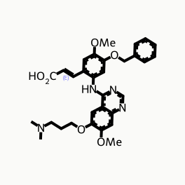 COc1cc2ncnc(Nc3cc(OCc4ccccc4)c(OC)cc3/C=C/C(=O)O)c2cc1OCCCN(C)C